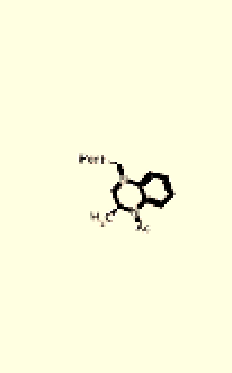 CCC[C@@H](C)CN1C[C@H](C)N(C(C)=O)c2ccccc21